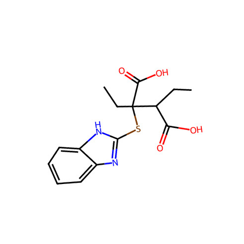 CCC(C(=O)O)C(CC)(Sc1nc2ccccc2[nH]1)C(=O)O